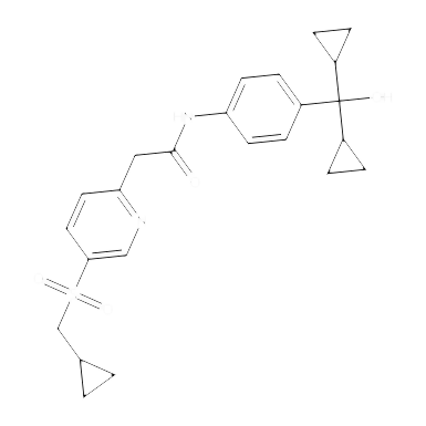 O=C(Cc1ccc(S(=O)(=O)CC2CC2)cn1)Nc1ccc(C(O)(C2CC2)C2CC2)cc1